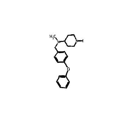 CN(Cc1ccc(Oc2ccccc2)cc1)C1CCN(I)CC1